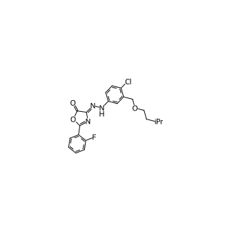 CC(C)CCOCc1cc(NN=C2N=C(c3ccccc3F)OC2=O)ccc1Cl